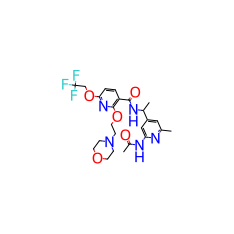 CC(=O)Nc1cc(C(C)NC(=O)c2ccc(OCC(F)(F)F)nc2OCCN2CCOCC2)cc(C)n1